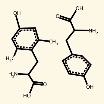 Cc1cc(O)cc(C)c1CC(N)C(=O)O.NC(Cc1ccc(O)cc1)C(=O)O